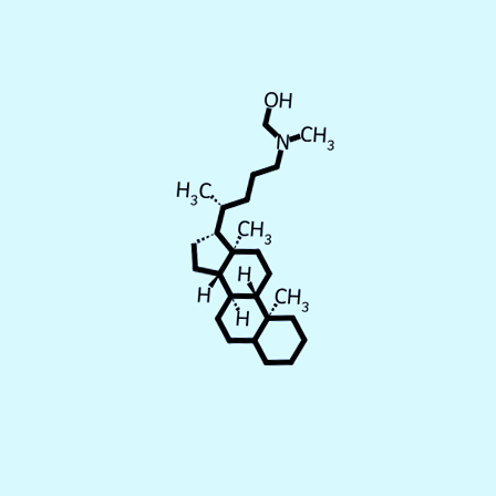 C[C@H](CCCN(C)CO)[C@H]1CC[C@H]2[C@@H]3CCC4CCCC[C@]4(C)[C@H]3CC[C@]12C